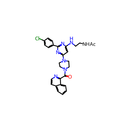 CC(=O)NCCNc1cc(N2CCN(C(=O)c3nccc4ccccc34)CC2)nc(-c2ccc(Cl)cc2)n1